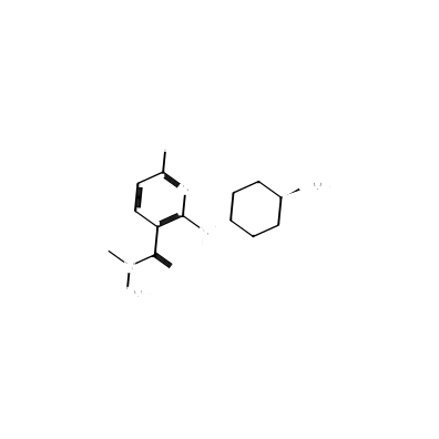 CON(C)C(=O)c1ccc(Cl)nc1N[C@H]1CC[C@H](OC)CC1